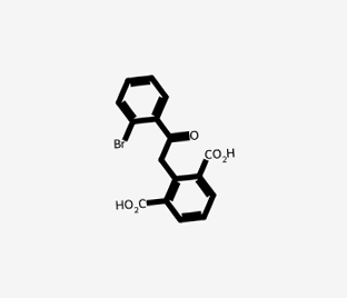 O=C(Cc1c(C(=O)O)cccc1C(=O)O)c1ccccc1Br